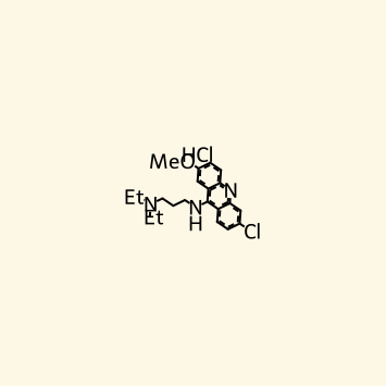 CCN(CC)CCCNc1c2ccc(Cl)cc2nc2ccc(OC)cc12.Cl